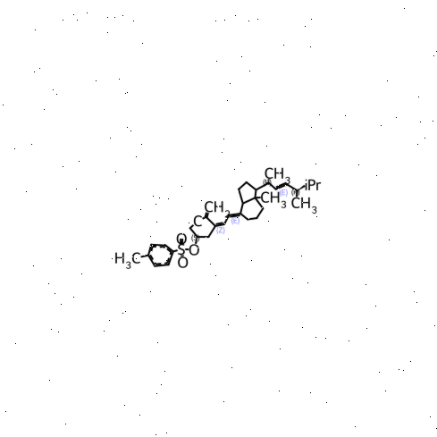 C=C1CC[C@H](OS(=O)(=O)c2ccc(C)cc2)C/C1=C/C=C1\CCCC2(C)C1CCC2[C@H](C)/C=C/[C@H](C)C(C)C